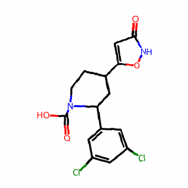 O=C(O)N1CCC(c2cc(=O)[nH]o2)CC1c1cc(Cl)cc(Cl)c1